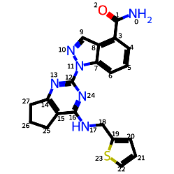 NC(=O)c1cccc2c1cnn2-c1nc2c(c(NCc3cccs3)n1)CCC2